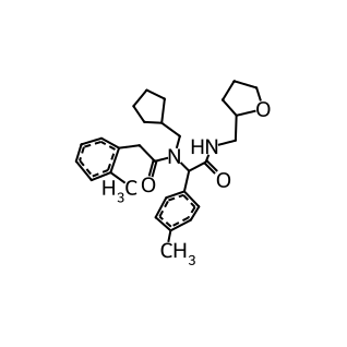 Cc1ccc(C(C(=O)NCC2CCCO2)N(CC2CCCC2)C(=O)Cc2ccccc2C)cc1